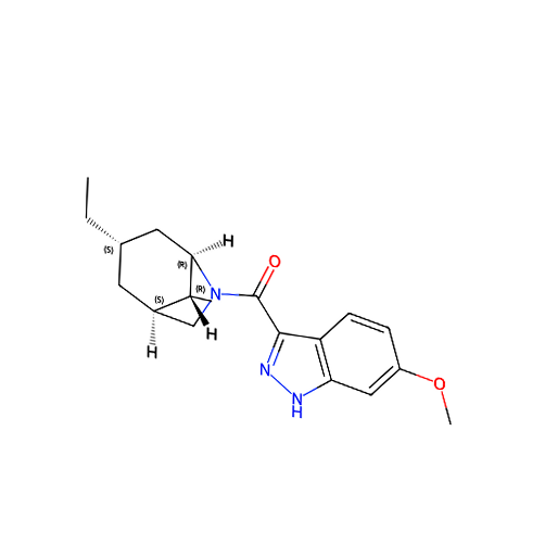 CC[C@H]1C[C@@H]2CN(C(=O)c3n[nH]c4cc(OC)ccc34)[C@H](C1)[C@@H]2C